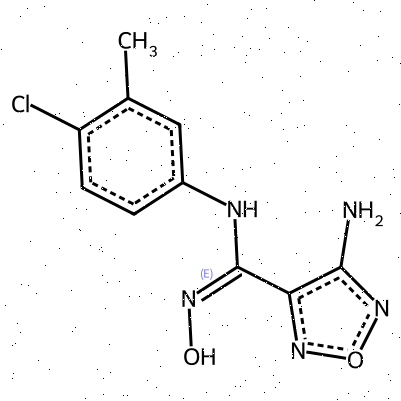 Cc1cc(N/C(=N/O)c2nonc2N)ccc1Cl